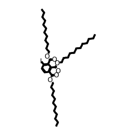 CCCCCCCCCCCCOC(=O)c1ccc(I)c(C(=O)OCCCCCCCCCCCC)c1C(=O)OCCCCCCCCCCCC